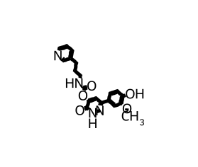 COc1cc(-c2cc(OC(=O)NCCCc3cccnc3)c(=O)[nH]n2)ccc1O